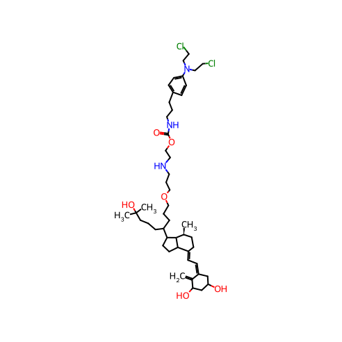 C=C1C(=CC=C2CC[C@H](C)C3C2CCC3C(CCCOCCCNCCOC(=O)NCCCc2ccc(N(CCCl)CCCl)cc2)CCCC(C)(C)O)CC(O)CC1O